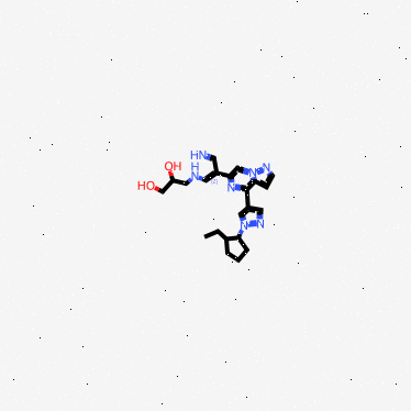 CCC1CCCC1n1cc(-c2nc(/C(C=N)=C/NCC(O)CO)cn3nccc23)cn1